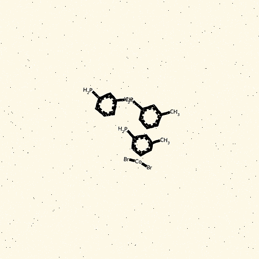 Cc1cccc(P)c1.Cc1cccc(P)c1.Cc1cccc(P)c1.[Br][Co][Br]